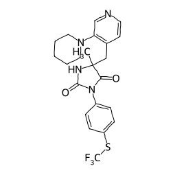 CC1(Cc2ccncc2N2CCCCC2)NC(=O)N(c2ccc(SC(F)(F)F)cc2)C1=O